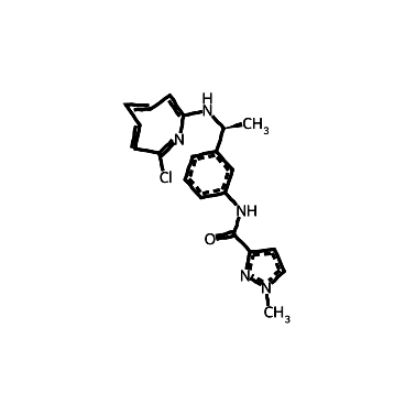 C[C@H](NC1=C/C=C/C=C/C(Cl)=N\1)c1cccc(NC(=O)c2ccn(C)n2)c1